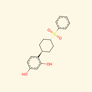 O=S(=O)(c1ccccc1)[C@H]1CC[C@H](c2ccc(O)cc2O)CC1